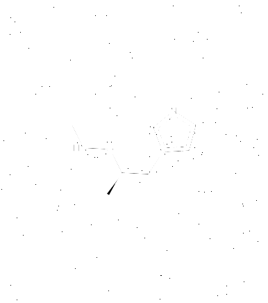 CNO[C@H](C)Cn1ccnc1